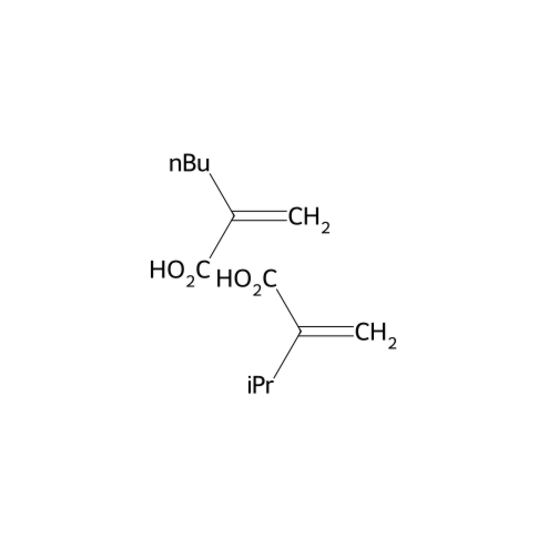 C=C(C(=O)O)C(C)C.C=C(CCCC)C(=O)O